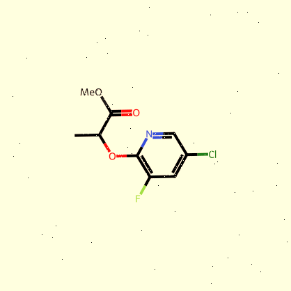 COC(=O)C(C)Oc1ncc(Cl)cc1F